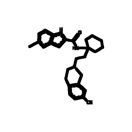 Cc1ccc2[nH]c(C(=O)NC3(CCN4CCc5ccc(C#N)cc5C4)CCCCC3)cc2c1